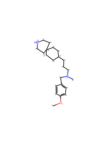 COc1ccc(CN(C)CCCC2CCC3(CCNCC3)CC2)cc1